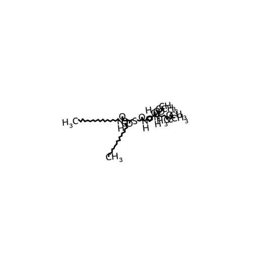 CCCCCCCCCCCCCCCCCCNC(=O)OCC(CSCCC(=O)Nc1ccc(C(=O)NC(CCC(=O)OC(C)(C)C)C(=O)OC(C)(C)C)cc1)OC(=O)CCCCCCCCCCCCCCC